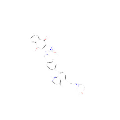 O=C1c2ccccc2C(=O)c2c1n[n+]([O-])n2Cc1ccc(-c2ccc(CCN3CCOCC3)c3cccnc23)cc1